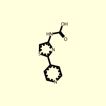 O=C(O)Nc1csc(-c2ccncc2)n1